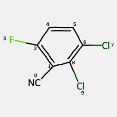 N#Cc1c(F)ccc(Cl)c1Cl